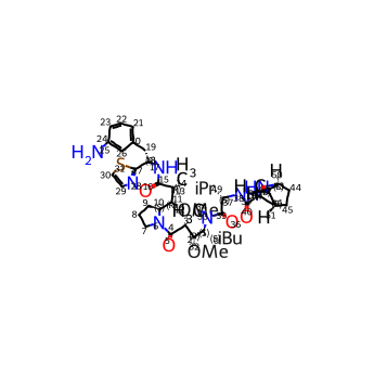 CC[C@H](C)[C@@H]([C@@H](CC(=O)N1CCC[C@H]1[C@H](OC)[C@@H](C)C(=O)N[C@@H](Cc1cccc(N)c1)c1nccs1)OC)N(C)C(=O)[C@@H](NC(=O)[C@H]1N[C@H]2CC[C@H]1[C@@H]2C)C(C)C